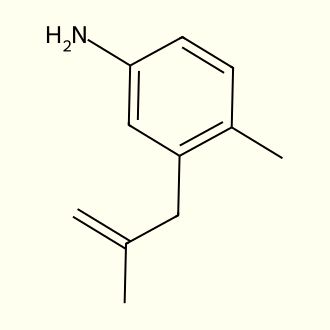 C=C(C)Cc1cc(N)ccc1C